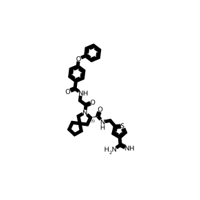 N=C(N)c1csc(CNC(=O)[C@@H]2CC3(CCCC3)CN2C(=O)CNC(=O)c2ccc(Oc3ccccc3)cc2)c1